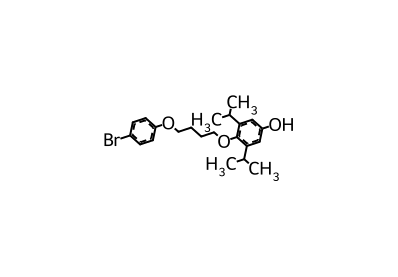 CC(C)c1cc(O)cc(C(C)C)c1OCCCCOc1ccc(Br)cc1